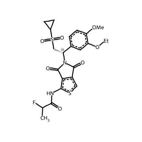 CCOc1cc([C@@H](CS(=O)(=O)C2CC2)N2C(=O)c3csc(NC(=O)C(C)F)c3C2=O)ccc1OC